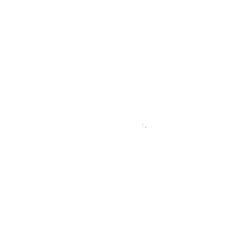 c1ccc(-c2c3ccccc3c(-c3ccc(-c4cccc5c4[nH]c4ccccc45)cc3)c3ccccc23)cc1